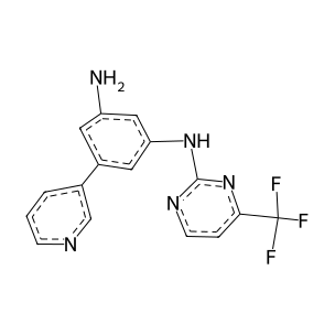 Nc1cc(Nc2nccc(C(F)(F)F)n2)cc(-c2cccnc2)c1